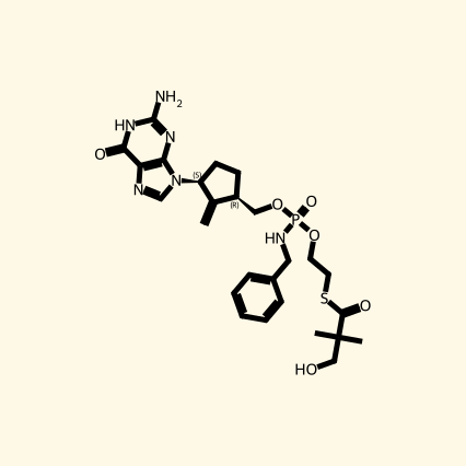 C=C1[C@H](COP(=O)(NCc2ccccc2)OCCSC(=O)C(C)(C)CO)CC[C@@H]1n1cnc2c(=O)[nH]c(N)nc21